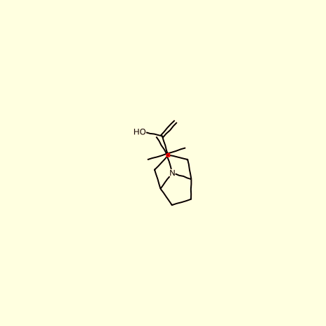 C=C(O)C1CC2CCC(C1)N2C(C)(C)C